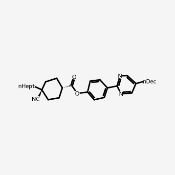 CCCCCCCCCCc1cnc(-c2ccc(OC(=O)[C@H]3CC[C@@](C#N)(CCCCCCC)CC3)cc2)nc1